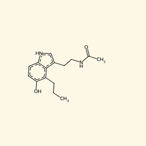 CCCc1c(O)ccc2[nH]cc(CCNC(C)=O)c12